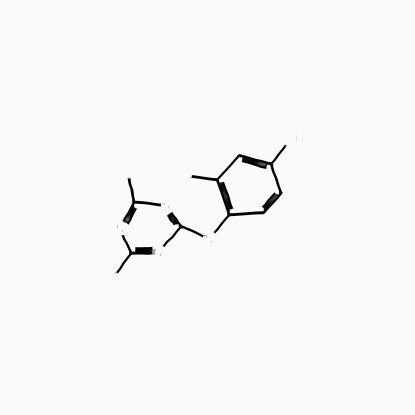 Cc1ccc(Nc2nc(Cl)nc(Cl)n2)c(S(=O)(=O)O)c1